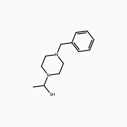 CC(S)N1CCN(Cc2ccccc2)CC1